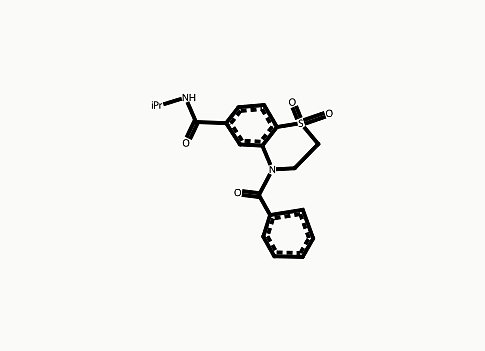 CC(C)NC(=O)c1ccc2c(c1)N(C(=O)c1ccccc1)CCS2(=O)=O